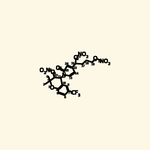 CC1(C)Oc2ccc(C(F)(F)F)cc2C(n2ccc(C(CCCO[N+](=O)[O-])O[N+](=O)[O-])cc2=O)C1O[N+](=O)[O-]